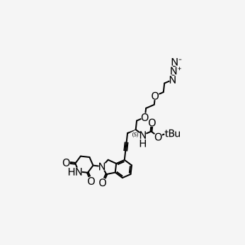 CC(C)(C)OC(=O)N[C@@H](CC#Cc1cccc2c1CN(C1CCC(=O)NC1=O)C2=O)COCCOCCN=[N+]=[N-]